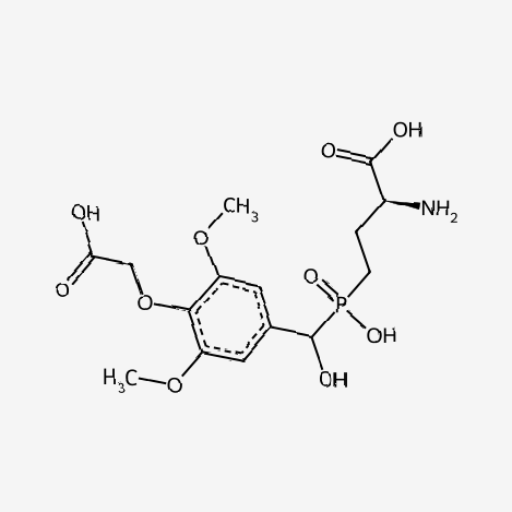 COc1cc(C(O)P(=O)(O)CC[C@H](N)C(=O)O)cc(OC)c1OCC(=O)O